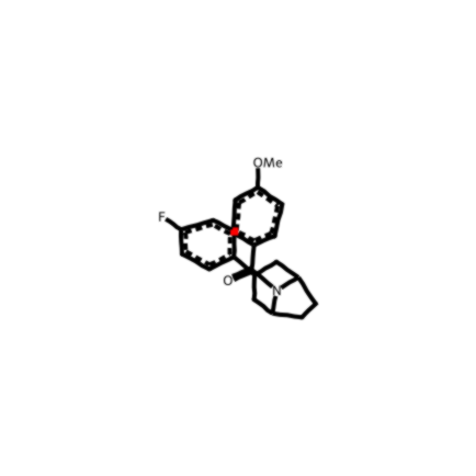 COc1ccc(C(=O)N2C3CCC2CC(c2ccc(F)cc2)C3)cc1